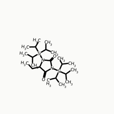 CCC1C(=O)N([Si](C(C)C)(C(C)C)C(C)C)C(=O)N1[Si](C(C)C)(C(C)C)C(C)C